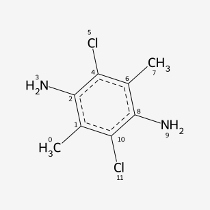 Cc1c(N)c(Cl)c(C)c(N)c1Cl